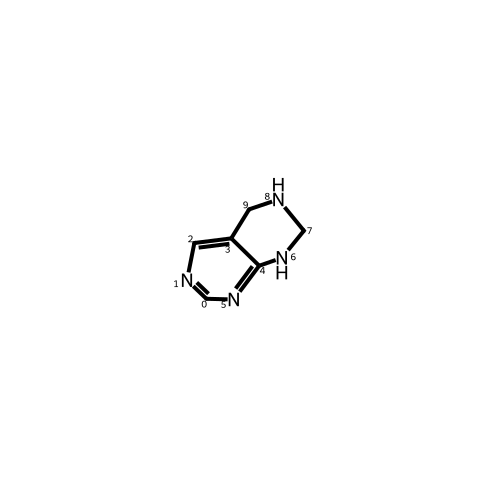 c1ncc2c(n1)NCNC2